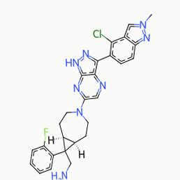 Cn1cc2c(Cl)c(-c3n[nH]c4nc(N5CC[C@@H]6[C@H](CC5)C6(CN)c5ccccc5F)cnc34)ccc2n1